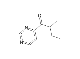 CCC(C)C(=O)c1ccncn1